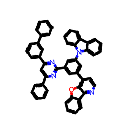 c1ccc(-c2cccc(-c3cc(-c4ccccc4)nc(-c4cc(-c5ccnc6c5oc5ccccc56)cc(-n5c6ccccc6c6ccccc65)c4)n3)c2)cc1